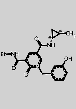 CCNC(=O)c1cc(C(=O)N[C@@H]2C[C@H]2C)cn(Cc2cccc(O)c2)c1=O